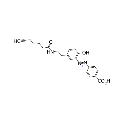 C#CCCCCC(=O)NCCc1ccc(O)c(/N=N/c2ccc(C(=O)O)cc2)c1